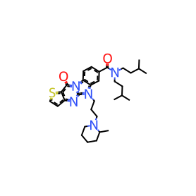 CC(C)CCN(CCC(C)C)C(=O)c1ccc2c(c1)n(CCCN1CCCCC1C)c1nc3ccsc3c(=O)n21